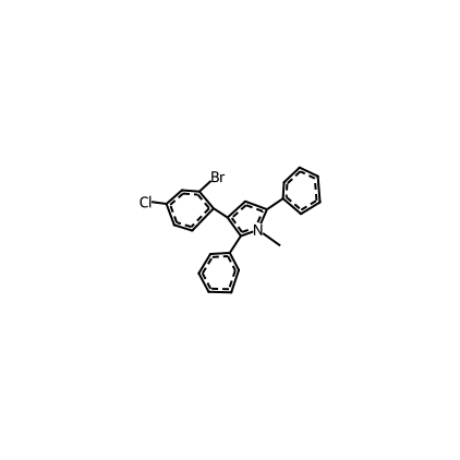 Cn1c(-c2ccccc2)cc(-c2ccc(Cl)cc2Br)c1-c1ccccc1